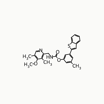 COc1c(C)cnc(CNC(=O)Oc2cc(C)cc(-c3cc4ccccc4s3)c2)c1C